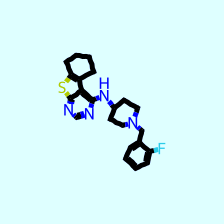 Fc1ccccc1CN1CCC(Nc2ncnc3sc4c(c23)CCCC4)CC1